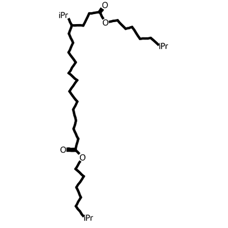 CC(C)CCCCCOC(=O)CCCCCCCCCCCCC(CCC(=O)OCCCCCC(C)C)C(C)C